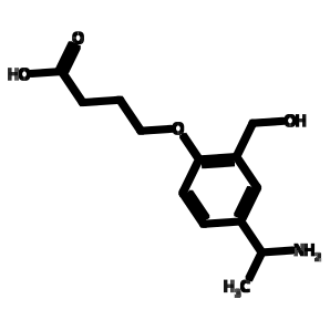 CC(N)c1ccc(OCCCC(=O)O)c(CO)c1